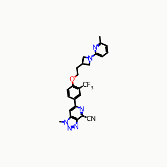 Cc1cccc(N2CC(CCOc3ccc(-c4cc5c(nnn5C)c(C#N)n4)cc3C(F)(F)F)C2)n1